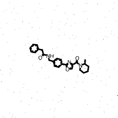 CC1CCCCN1C(=O)c1coc(-c2ccc(CNC(=O)Cc3ccccc3)cc2)n1